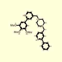 COc1cc(-c2cc(CN3CCN(Cc4ccnc(-c5ccccc5)c4)CC3)ccn2)cc(OC)c1OC